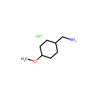 COC1CCC(CN)CC1.Cl